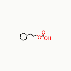 O=C(O)OCC=CC1CCCCC1